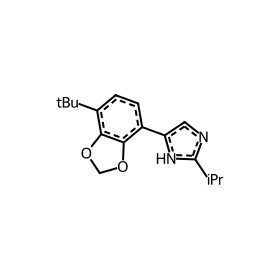 CC(C)c1ncc(-c2ccc(C(C)(C)C)c3c2OCO3)[nH]1